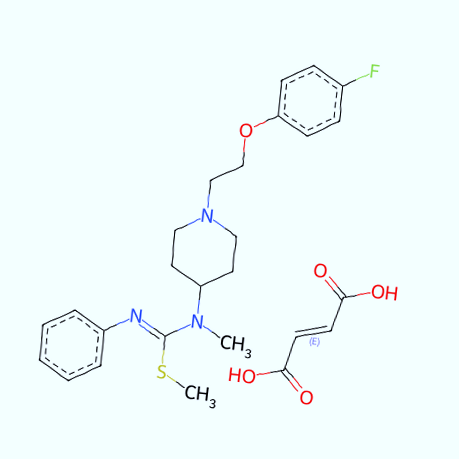 CSC(=Nc1ccccc1)N(C)C1CCN(CCOc2ccc(F)cc2)CC1.O=C(O)/C=C/C(=O)O